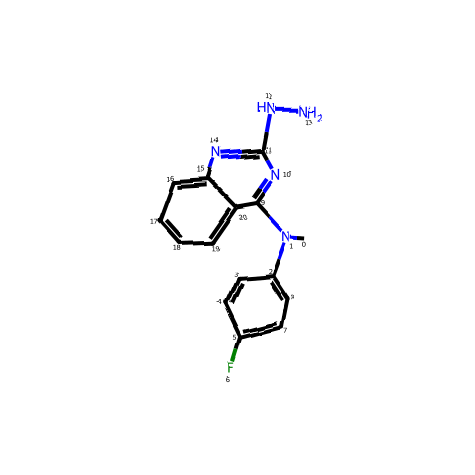 CN(c1ccc(F)cc1)c1nc(NN)nc2ccccc12